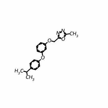 Cc1nnc(COc2cccc(Oc3ccc(C(C)C)cc3)c2)o1